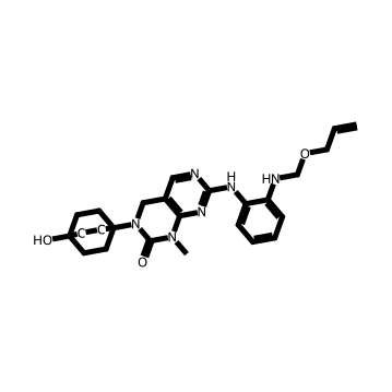 C=CCOCNc1ccccc1Nc1ncc2c(n1)N(C)C(=O)N(C13CCC(O)(CC1)CC3)C2